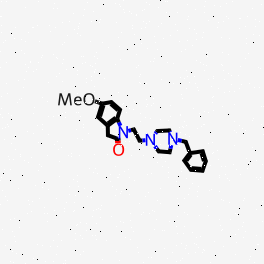 COc1ccc2c(c1)CC(=O)N2CCN1CCN(Cc2ccccc2)CC1